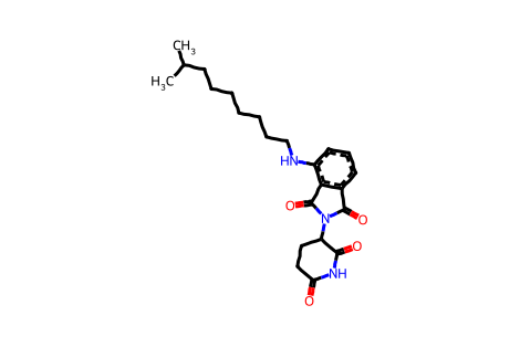 CC(C)CCCCCCCNc1cccc2c1C(=O)N(C1CCC(=O)NC1=O)C2=O